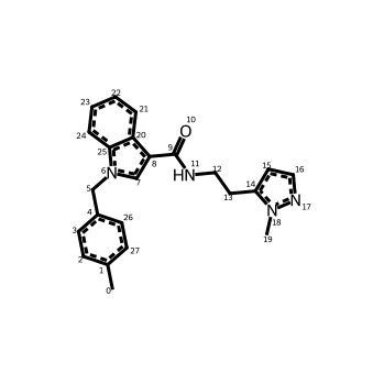 Cc1ccc(Cn2cc(C(=O)NCCc3ccnn3C)c3ccccc32)cc1